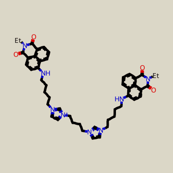 CCN1C(=O)c2cccc3c(NCCCCCn4cc[n+](CCCC[n+]5ccn(CCCCCNc6ccc7c8c(cccc68)C(=O)N(CC)C7=O)c5)c4)ccc(c23)C1=O